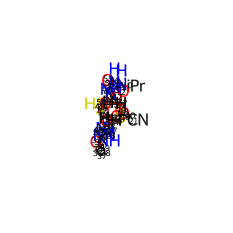 CC(C)C(=O)Nc1nc2c(ncn2[C@@H]2O[C@@H]3COP(=S)(OCCC#N)O[C@H]4C[C@H](n5cnc6c(NC(=O)c7ccccc7)ncnc65)O[C@@H]4COP(=S)(S)O[C@@H]2C3)c(=O)[nH]1